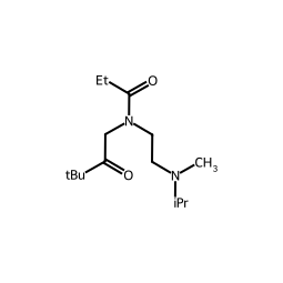 CCC(=O)N(CCN(C)C(C)C)CC(=O)C(C)(C)C